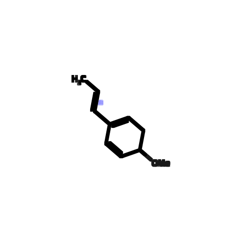 C/C=C/C1=CCC(OC)C=C1